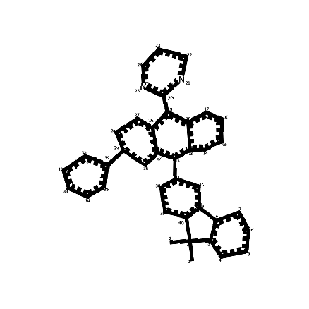 CC1(C)c2ccccc2-c2cc(-c3c4ccccc4c(-c4ncccn4)c4ccc(-c5ccccc5)cc34)ccc21